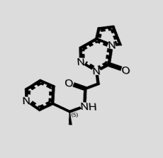 C[C@H](NC(=O)Cn1ncc2cccn2c1=O)c1cccnc1